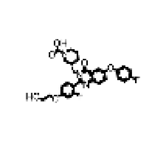 O=C(O)N1CCC[C@H](Cn2c(-c3ccc(OCCO)cc3F)nc3ccc(Oc4ccc(F)cc4)cc3c2=O)C1